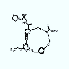 COC(=O)N1CCCOc2ccc(cc2)CNc2nc(nc(OCC(F)(F)F)n2)Nc2ccc(C(=O)NCC3(CN4CCCC4)CC3)c(c2)OCCC1